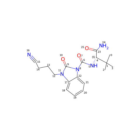 CC(C)(C)[C@H](NC(=O)n1c(=O)n(CCCC#N)c2ccccc21)C(N)=O